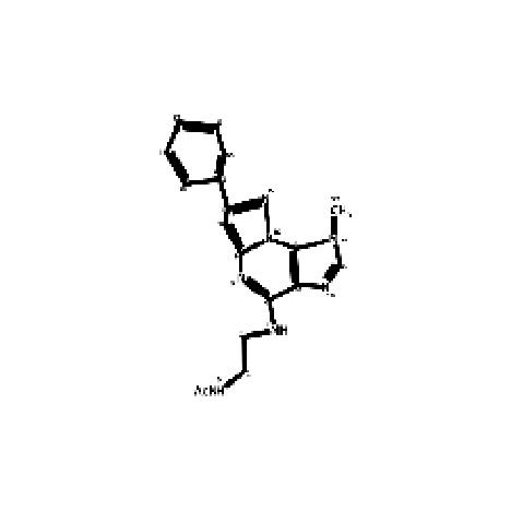 CC(=O)NCCNc1nc2cc(-c3ccccc3)nn2c2c1ncn2C